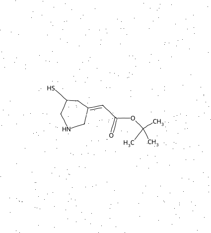 CC(C)(C)OC(=O)C=C1CNCC(S)C1